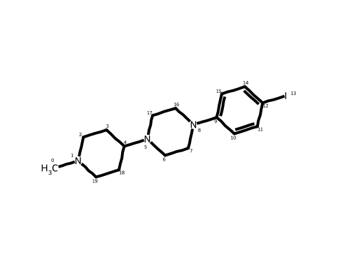 CN1CCC(N2CCN(c3ccc(I)cc3)CC2)CC1